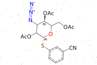 CC(=O)OCC1O[C@H](Sc2cccc(C#N)c2)C(OC(C)=O)C(N=[N+]=[N-])[C@H]1OC(C)=O